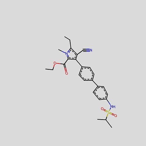 CCOC(=O)c1c(-c2ccc(-c3ccc(NS(=O)(=O)C(C)C)cc3)cc2)c(C#N)c(CC)n1C